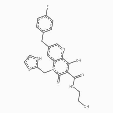 O=C(NCCO)c1c(O)c2ncc(Cc3ccc(F)cc3)cc2n(Cc2ncc[nH]2)c1=O